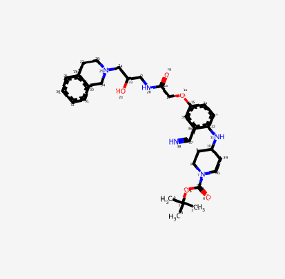 CC(C)(C)OC(=O)N1CCC(Nc2ccc(OCC(=O)NCC(O)CN3CCc4ccccc4C3)cc2C=N)CC1